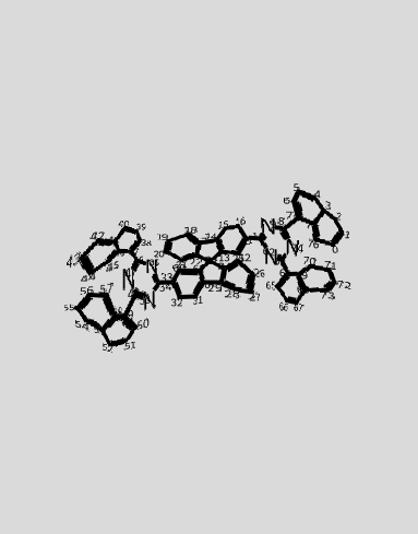 C1=CCC2C=CC=C(c3nc(C4=CC5=C(CC4)c4ccccc4C54c5ccccc5-c5ccc(-c6nc(-c7cccc8ccccc78)nc(-c7cccc8ccccc78)n6)cc54)nc(-c4cccc5c4CCC=C5)n3)C2=C1